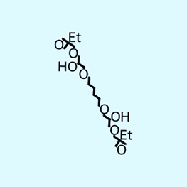 CCC1(COCC(O)COCCCCCCOCC(O)COCC2(CC)COC2)COC1